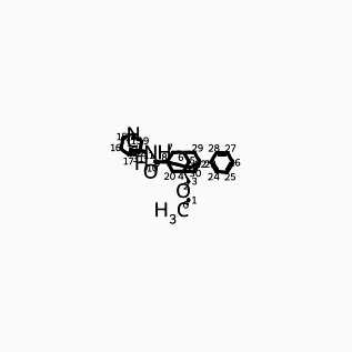 CCOC[C@]12CC3CC(C(=O)N[C@@H]4CN5CCC4CC5)(C1)C[C@@](c1ccccc1)(C3)C2